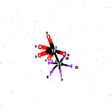 [O]=[Ta](=[O])(=[O])(=[O])(=[O])[Ta]([I])([I])([I])([I])[I]